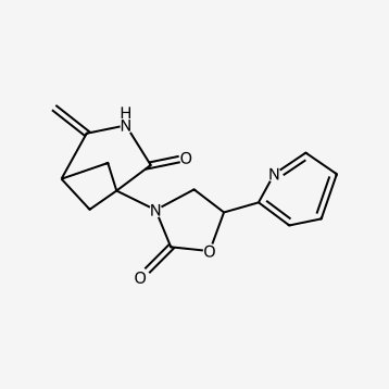 C=C1NC(=O)C2(N3CC(c4ccccn4)OC3=O)CC1C2